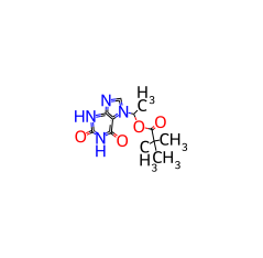 CC(OC(=O)C(C)(C)C)n1cnc2[nH]c(=O)[nH]c(=O)c21